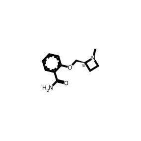 CN1CC[C@H]1COc1ccccc1C(N)=O